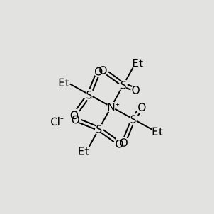 CCS(=O)(=O)[N+](S(=O)(=O)CC)(S(=O)(=O)CC)S(=O)(=O)CC.[Cl-]